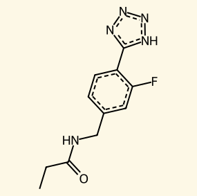 CCC(=O)NCc1ccc(-c2nnn[nH]2)c(F)c1